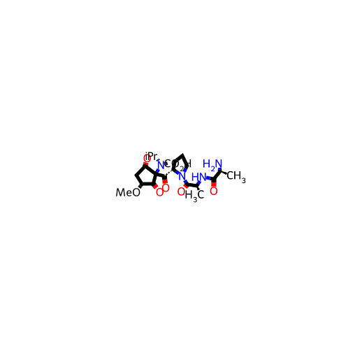 COC1CC(=O)C(C(=O)[C@@H]2CCCN2C(=O)[C@H](C)NC(=O)[C@H](C)N)(N(C(=O)O)C(C)C)C1=O